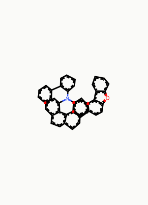 c1ccc(-c2ccccc2N(c2ccc3ccc4oc5ccccc5c4c3c2)c2cccc3ccc4ccc5ccccc5c4c23)cc1